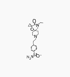 CCN1CC2(CCN(CCc3ccc([S+](N)[O-])cc3)CC2)OC2(CC2)C1=O